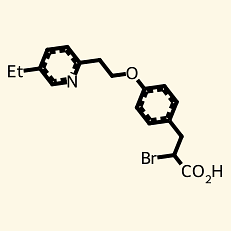 CCc1ccc(CCOc2ccc(CC(Br)C(=O)O)cc2)nc1